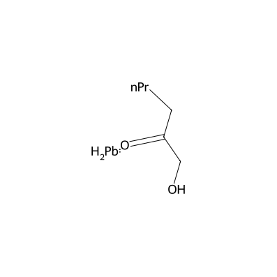 CCCCC(=O)CO.[PbH2]